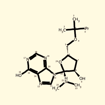 CC(C)C(C)(C)OC[C@@H]1C[C@@H](O)[C@@](n2cnc3c(O)ncnc32)([SiH](C)C)O1